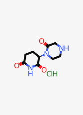 Cl.O=C1CC[C@@H](N2CCNCC2=O)C(=O)N1